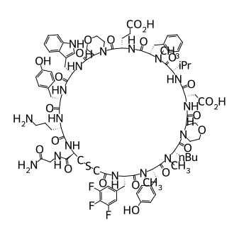 CCCC[C@H]1C(=O)N2CCOC[C@@H]2C(=O)N[C@@H](CC(=O)O)C(=O)N[C@@H](C(C)C)C(=O)N(C)[C@@H](Cc2ccccc2)C(=O)N[C@@H](CCC(=O)O)C(=O)N2CCOC[C@@H]2C(=O)N[C@@H](Cc2c[nH]c3ccccc23)C(=O)N[C@@H](Cc2ccc(O)cc2)C(=O)N[C@@H](CCCN)C(=O)N[C@H](C(=O)NCC(N)=O)CSCC(=O)N[C@@H](Cc2cc(F)c(F)c(F)c2)C(=O)N(C)[C@@H](Cc2ccc(O)cc2)C(=O)N1C